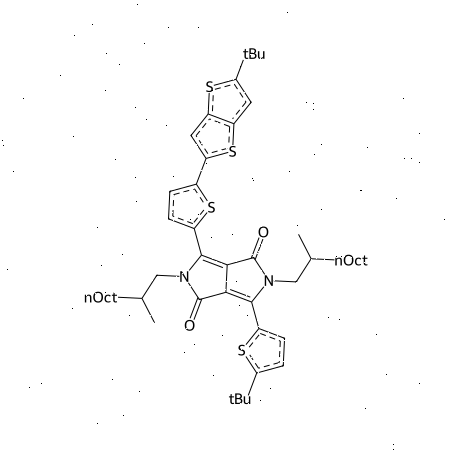 CCCCCCCCC(C)CN1C(=O)C2=C(c3ccc(C(C)(C)C)s3)N(CC(C)CCCCCCCC)C(=O)C2=C1c1ccc(-c2cc3sc(C(C)(C)C)cc3s2)s1